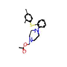 CC(=O)OCN1CCN(c2ccccc2Sc2ccc(C)cc2C)CC1